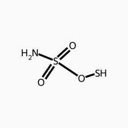 NS(=O)(=O)OS